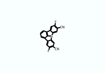 N#Cc1cc2c(cc1F)c1cccc3c4cc(F)c(C#N)cc4n2c13